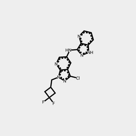 FC1(F)CC(Cn2nc(Cl)c3cc(Nc4n[nH]c5cccnc45)cnc32)C1